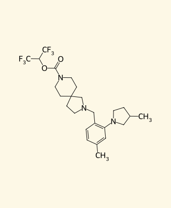 Cc1ccc(CN2CCC3(CCN(C(=O)OC(C(F)(F)F)C(F)(F)F)CC3)C2)c(N2CCC(C)C2)c1